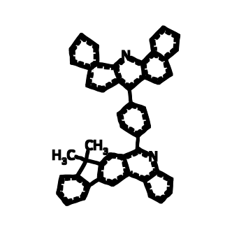 CC1(C)c2ccccc2-c2cc3c(cc21)c(-c1ccc(-c2c4ccc5ccccc5c4nc4c2ccc2ccccc24)cc1)nc1ccccc13